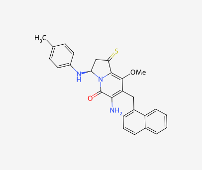 COc1c(Cc2cccc3ccccc23)c(N)c(=O)n2c1C(=S)C[C@@H]2Nc1ccc(C)cc1